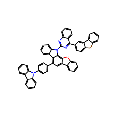 c1ccc2c(-c3ccc4sc5ccccc5c4c3)nc(-n3c4ccccc4c4c(-c5ccc(-n6c7ccccc7c7ccccc76)cc5)cc5c6ccccc6oc5c43)nc2c1